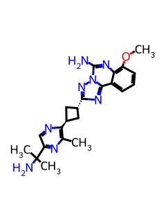 COc1cccc2c1nc(N)n1nc([C@H]3C[C@H](c4ncc(C(C)(C)N)nc4C)C3)nc21